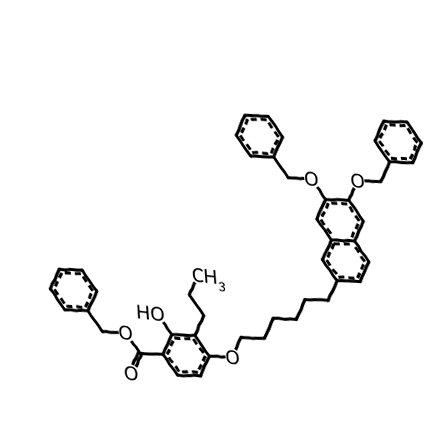 CCCc1c(OCCCCCCc2ccc3cc(OCc4ccccc4)c(OCc4ccccc4)cc3c2)ccc(C(=O)OCc2ccccc2)c1O